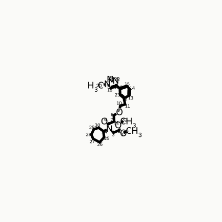 COC(CN(C(=O)CCOCCc1cccc(-c2cn(C)nn2)c1)C1CCCCCC1)OC